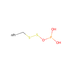 CCCCSSOP(O)O